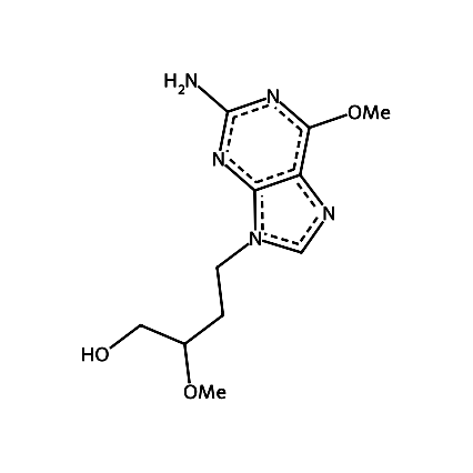 COc1nc(N)nc2c1ncn2CCC(CO)OC